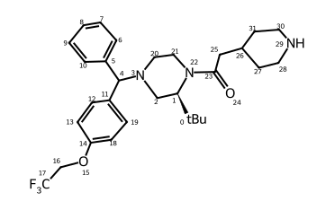 CC(C)(C)[C@H]1CN(C(c2ccccc2)c2ccc(OCC(F)(F)F)cc2)CCN1C(=O)CC1CCNCC1